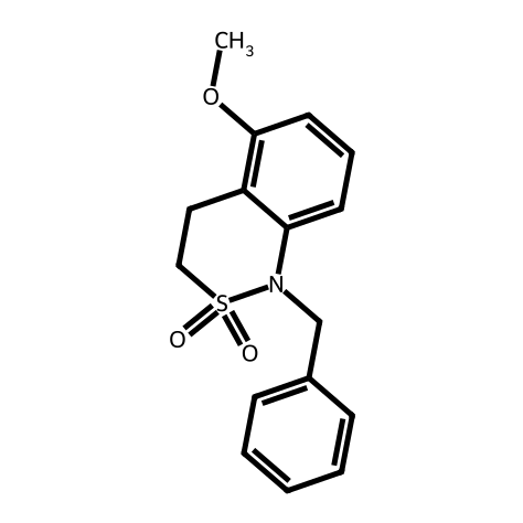 COc1cccc2c1CCS(=O)(=O)N2Cc1ccccc1